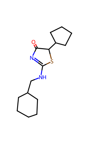 O=C1N=C(NCC2CCCCC2)SC1C1CCCC1